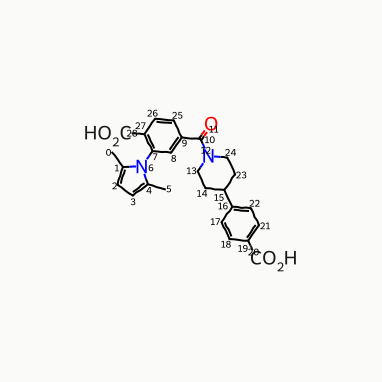 Cc1ccc(C)n1-c1cc(C(=O)N2CCC(c3ccc(C(=O)O)cc3)CC2)ccc1C(=O)O